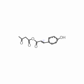 CC(=O)CC(=O)OC(=O)/C=C/c1ccc(O)cc1